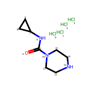 Cl.Cl.Cl.Cl.O=C(NC1CC1)N1CCNCC1